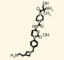 CC(N)(CO)C(=O)N1CCN(C(=O)Nc2ccn(-c3ccc(CN4CC(CCN)C4)cc3)c(=O)n2)CC1.Cl